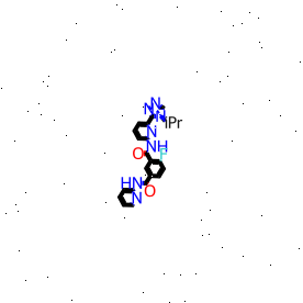 CC(C)n1cnnc1-c1cccc(NC(=O)c2cc(C(=O)Nc3ccccn3)ccc2F)n1